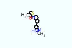 CC1=C(C(=O)N2CCCc3ccc(-c4ccc5[nH]c(C)nc5c4)cc3C2)SCC1